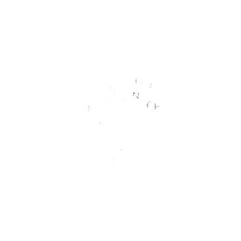 CN(C)C(=O)c1ccc([N+](=O)[O-])cc1S(=O)(=O)O.[K]